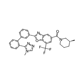 C[C@H]1CCCN(C(=O)c2cc(C(F)(F)F)c3oc(-c4cccc(-c5ccccc5-c5nncn5C)c4)nc3c2)C1